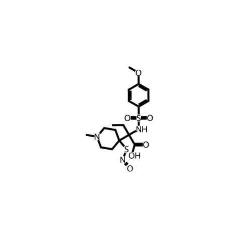 CCC(NS(=O)(=O)c1ccc(OC)cc1)(C(=O)O)C1(SN=O)CCN(C)CC1